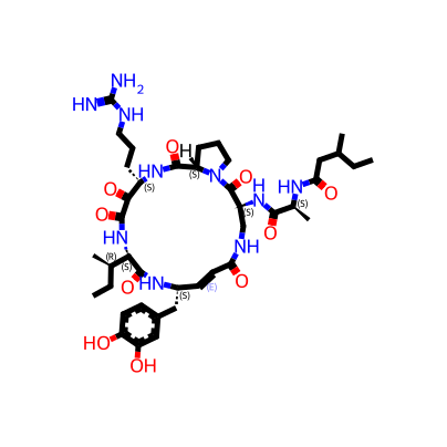 CCC(C)CC(=O)N[C@@H](C)C(=O)N[C@H]1CNC(=O)/C=C/[C@H](Cc2ccc(O)c(O)c2)NC(=O)[C@H]([C@H](C)CC)NC(=O)C(=O)[C@H](CCCNC(=N)N)NC(=O)[C@@H]2CCCN2C1=O